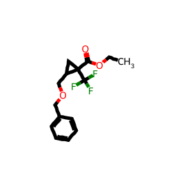 CCOC(=O)C1(C(F)(F)F)CC1COCc1ccccc1